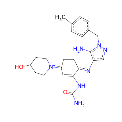 Cc1ccc(Cn2ncc(N=C3C=CC(=[N+]4CCC(O)CC4)C=C3NC(N)=O)c2N)cc1